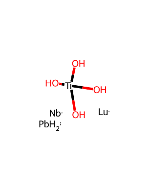 [Lu].[Nb].[OH][Ti]([OH])([OH])[OH].[PbH2]